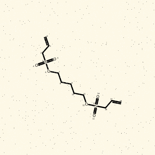 C=CCS(=O)(=O)OCCCCCOS(=O)(=O)CC=C